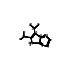 CC(C)c1[nH]c2cccnc2c1C(C)C